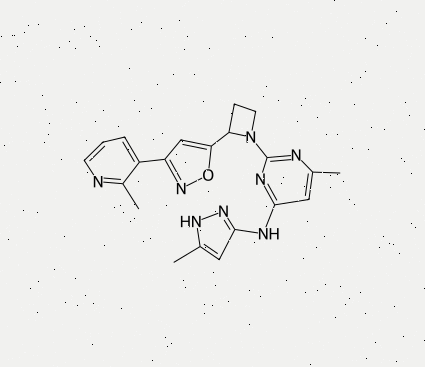 Cc1cc(Nc2cc(C)[nH]n2)nc(N2CCC2c2cc(-c3cccnc3C)no2)n1